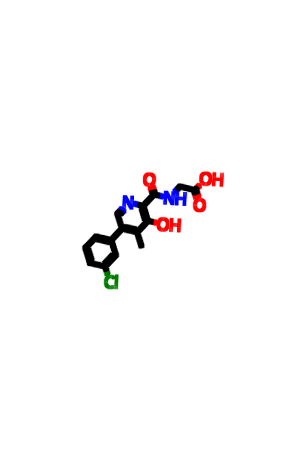 Cc1c(-c2cccc(Cl)c2)cnc(C(=O)NCC(=O)O)c1O